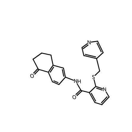 O=C1CCCc2cc(NC(=O)c3cccnc3SCc3ccncc3)ccc21